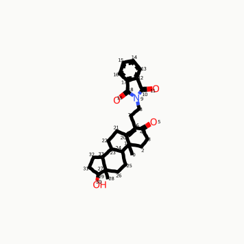 CC12CCC(=O)C(CCN3C(=O)c4ccccc4C3=O)=C1CCC1C2CCC2(C)C(O)CCC12